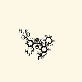 CCc1ccc(C(=O)OC)cc1S(=O)(=O)Nc1cc(C(F)(F)F)ccc1N1CCCC[C@H]1C